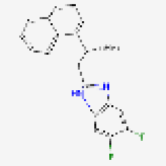 CCCCCCC(Cc1nc2cc(F)c(F)cc2[nH]1)c1cccc2ccccc12